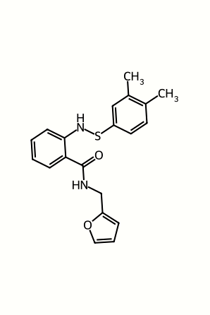 Cc1ccc(SNc2ccccc2C(=O)NCc2ccco2)cc1C